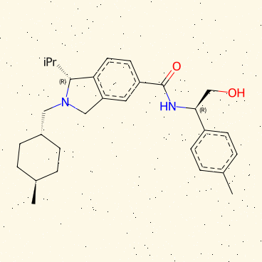 Cc1ccc([C@H](CO)NC(=O)c2ccc3c(c2)CN(C[C@H]2CC[C@H](C)CC2)[C@@H]3C(C)C)cc1